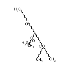 CCCCCCCCCOC(=O)CCCCCCCN(CCCCCCCC(=O)OC(CCCCCCCC)CCCCCCCC)CCOC(=O)CCN(C)C